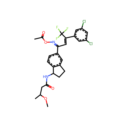 COC(C)CC(=O)NC1CCc2cc(C(C=C(c3cc(Cl)cc(Cl)c3)C(F)(F)F)=NOC(C)=O)ccc21